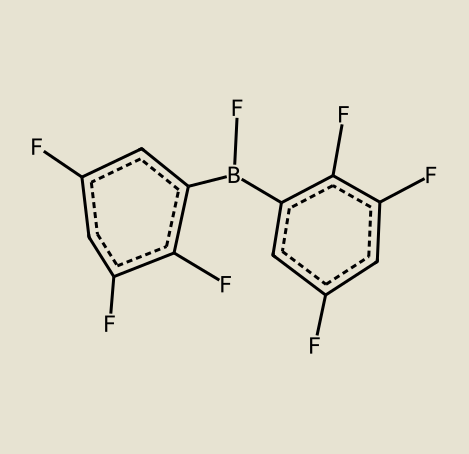 FB(c1cc(F)cc(F)c1F)c1cc(F)cc(F)c1F